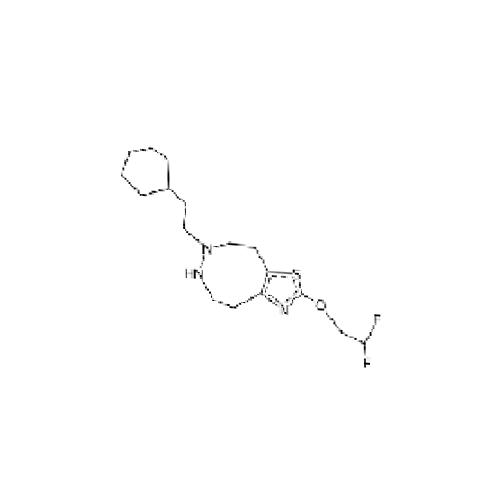 FC(F)COc1nc2c(s1)CCN(CCC1CCCCC1)NCC2